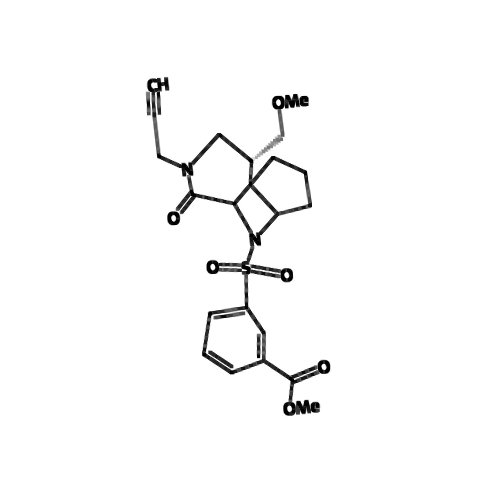 C#CCN1C[C@H](COC)C23CCCC2N(S(=O)(=O)c2cccc(C(=O)OC)c2)C3C1=O